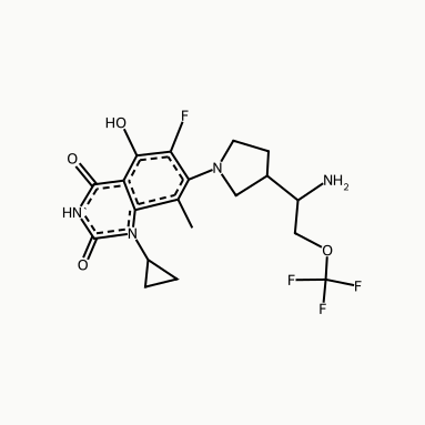 Cc1c(N2CCC(C(N)COC(F)(F)F)C2)c(F)c(O)c2c(=O)[nH]c(=O)n(C3CC3)c12